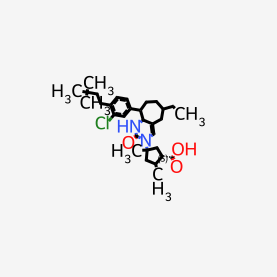 CCC1CCC(c2ccc(CCC(C)(C)C)c(Cl)c2)C2NC(=O)N(C3(C)CC(C)[C@@H](C(=O)O)C3)C=C2C1